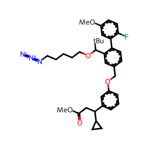 COC(=O)CC(c1cccc(OCc2ccc(-c3cc(OC)ccc3F)c(C(OCCCCCN=[N+]=[N-])C(C)(C)C)c2)c1)C1CC1